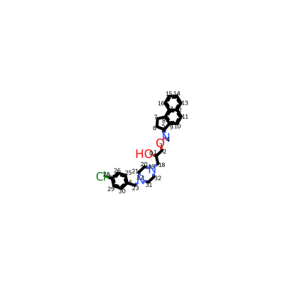 OC(CON=C1CCc2c1ccc1ccccc21)CN1CCN(Cc2ccc(Cl)cc2)CC1